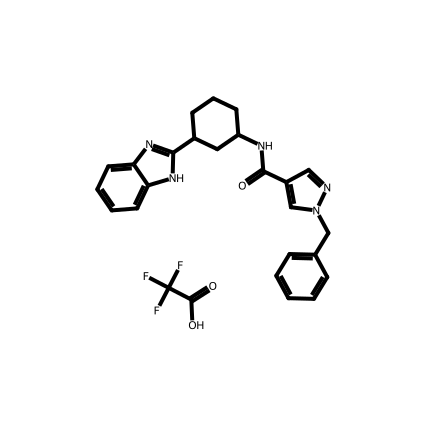 O=C(NC1CCCC(c2nc3ccccc3[nH]2)C1)c1cnn(Cc2ccccc2)c1.O=C(O)C(F)(F)F